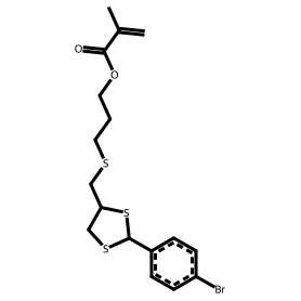 C=C(C)C(=O)OCCCSCC1CSC(c2ccc(Br)cc2)S1